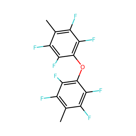 Cc1c(F)c(F)c(Oc2c(F)c(F)c(C)c(F)c2F)c(F)c1F